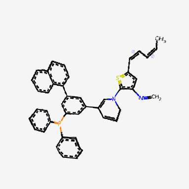 C=Nc1cc(/C=C\C=C/C)sc1N1C=C(c2cc(-c3cccc4ccccc34)cc(P(c3ccccc3)c3ccccc3)c2)C=CC1